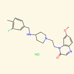 COc1ccc2ncc(=O)n(CCN3CCC(NCc4ccc(C)c(F)c4)CC3)c2c1.Cl